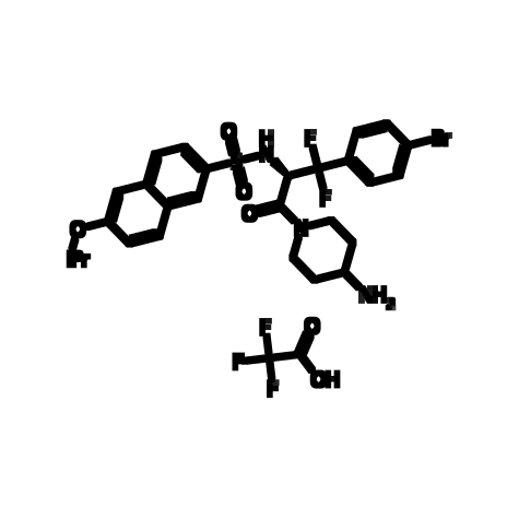 CC(C)Oc1ccc2cc(S(=O)(=O)N[C@H](C(=O)N3CCC(N)CC3)C(F)(F)c3ccc(Br)cc3)ccc2c1.O=C(O)C(F)(F)F